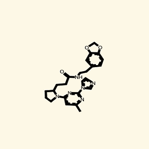 Cc1cc(N2CCCC2CCC(=O)NCCc2ccc3c(c2)OCO3)nc(-n2ccnc2)n1